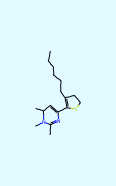 CCCCCCC1=C(C2=CC(C)N(C)C(C)=N2)SCC1